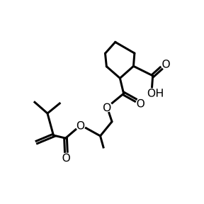 C=C(C(=O)OC(C)COC(=O)C1CCCCC1C(=O)O)C(C)C